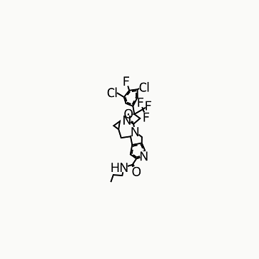 CCCNC(=O)c1cc2c(cn1)CN(C1=NOC(c3cc(Cl)c(F)c(Cl)c3)(C(F)(F)F)C1)C2CC1CC1